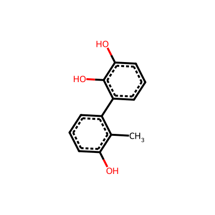 Cc1c(O)cccc1-c1cccc(O)c1O